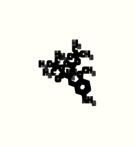 COc1ccc(N)cc1C[C@H](NC(=O)OC(C)(C)C)C(=O)OC(C)(C)C